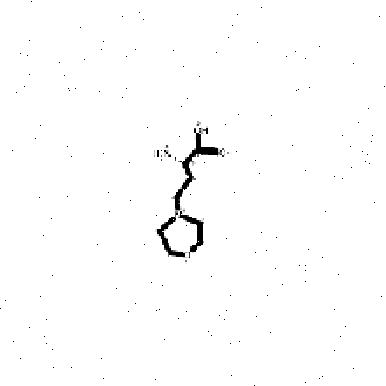 N[C@@H](CCN1CCOCC1)C(=O)O